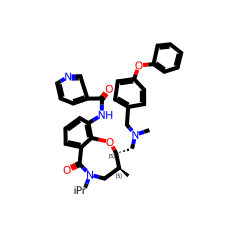 CC(C)N1C[C@H](C)[C@@H](CN(C)Cc2ccc(Oc3ccccc3)cc2)Oc2c(NC(=O)c3cccnc3)cccc2C1=O